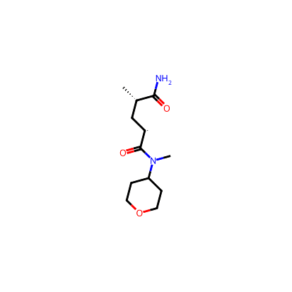 C[C@@H](C[CH]C(=O)N(C)C1CCOCC1)C(N)=O